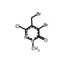 Cn1nc(Cl)c(CBr)c(Br)c1=O